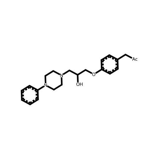 CC(=O)Cc1ccc(OCC(O)CN2CCN(c3ccccc3)CC2)cc1